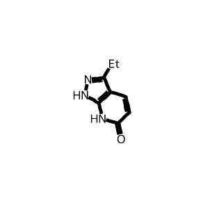 CCc1n[nH]c2[nH]c(=O)ccc12